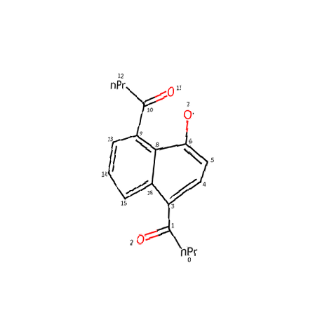 CCCC(=O)c1ccc([O])c2c(C(=O)CCC)cccc12